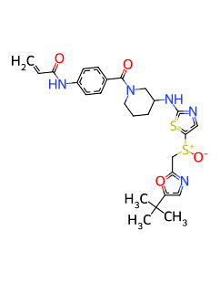 C=CC(=O)Nc1ccc(C(=O)N2CCCC(Nc3ncc([S+]([O-])Cc4ncc(C(C)(C)C)o4)s3)C2)cc1